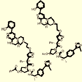 CC(=O)O[C@@H]1C[C@@H](C(=O)N[C@@H](C)c2ccc(-c3scnc3C)cc2)N(C(=O)[C@@H](c2cc(OCCN3CCN4c5cc(-c6ccccc6O)nnc5NC[C@@H]4C3)no2)C(C)C)C1.Cc1ncsc1-c1ccc([C@H](C)NC(=O)[C@@H]2C[C@@H](OC(=O)C(C)C)CN2C(=O)[C@@H](c2cc(OCCN3CCN4c5cc(-c6ccccc6O)nnc5NC[C@H]4C3)no2)C(C)C)cc1